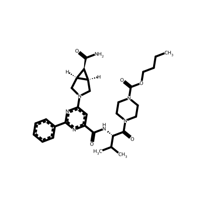 CCCCOC(=O)N1CCN(C(=O)[C@@H](NC(=O)c2cc(N3C[C@@H]4[C@H](C3)[C@@H]4C(N)=O)nc(-c3ccccc3)n2)C(C)C)CC1